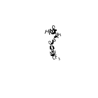 Cc1c(N[C@@H](C)CSCCC(=O)N2CCN(c3ncc(C(F)(F)F)cn3)CC2)cn[nH]c1=O